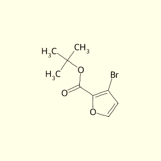 CC(C)(C)OC(=O)c1occc1Br